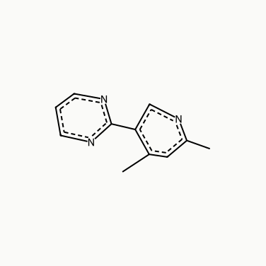 Cc1cc(C)c(-c2ncccn2)cn1